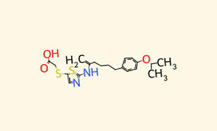 C=C(CCCCc1ccc(OC(C)C)cc1)Nc1ncc(SCC(=O)O)s1